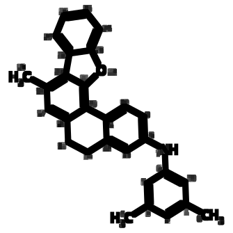 Cc1cc(C)cc(Nc2ccc3c(c2)CCc2cc(C)c4c(oc5ccccc54)c2-3)c1